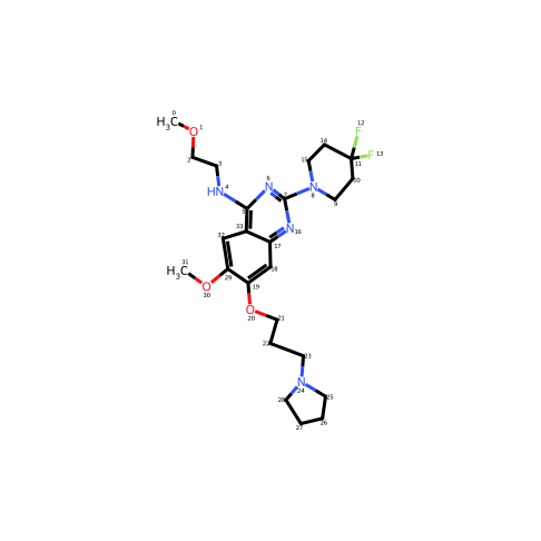 COCCNc1nc(N2CCC(F)(F)CC2)nc2cc(OCCCN3CCCC3)c(OC)cc12